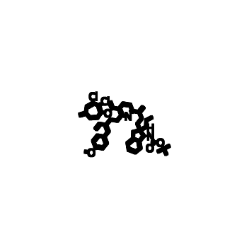 C=CC(=Cc1ccc(OC)cc1)CCc1nc(C(=C)CCC2(CCC)Cc3ccccc3[C@H]2NC(=O)OC(C)(C)C)ccc1C(=C)OC1=C(Cl)C(Cl)=CC(=C)C=C1